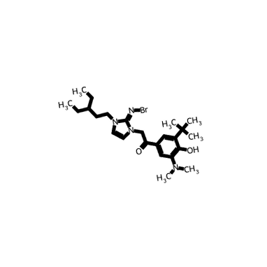 CCC(CC)CCn1ccn(CC(=O)c2cc(N(C)C)c(O)c(C(C)(C)C)c2)/c1=N\Br